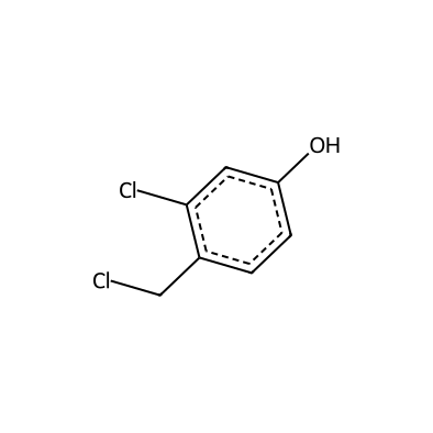 Oc1ccc(CCl)c(Cl)c1